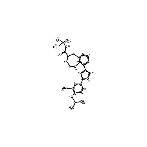 [C-]#[N+]c1cc(-c2nc(-c3cccc4c3OCCN(C(=O)OC(C)(C)C)C4)no2)ccc1OC(C)C